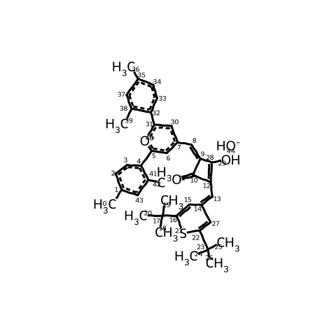 Cc1ccc(-c2cc(C=C3C(=O)C(C=C4C=C(C(C)(C)C)SC(C(C)(C)C)=C4)=C3O)cc(-c3ccc(C)cc3C)[o+]2)c(C)c1.[OH-]